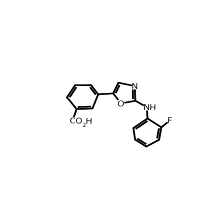 O=C(O)c1cccc(-c2cnc(Nc3ccccc3F)o2)c1